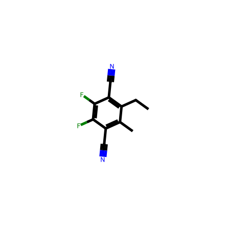 CCc1c(C)c(C#N)c(F)c(F)c1C#N